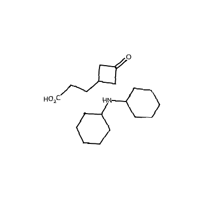 C1CCC(NC2CCCCC2)CC1.O=C(O)CCC1CC(=O)C1